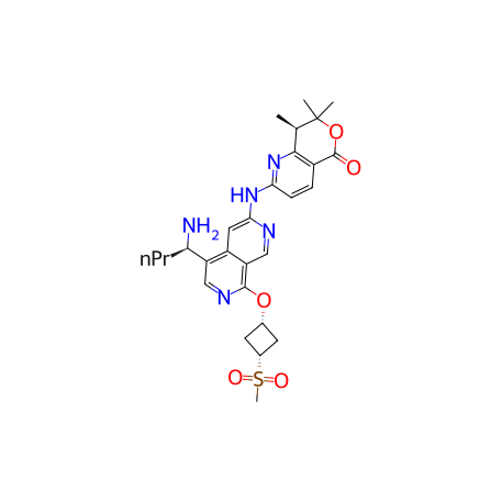 CCC[C@@H](N)c1cnc(O[C@H]2C[C@@H](S(C)(=O)=O)C2)c2cnc(Nc3ccc4c(n3)[C@@H](C)C(C)(C)OC4=O)cc12